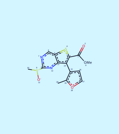 COC(=O)c1sc2cnc([S+](C)[O-])nc2c1-c1ccoc1C